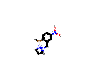 CSc1ccc([N+](=O)[O-])cc1Cn1cccn1